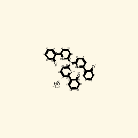 O=C1CC=CC=C1c1cccc(P(c2cccc(C3=CC=CCC3=O)n2)c2cccc(C3=CC=CCC3=O)n2)n1.[La].[OH]